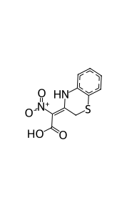 O=C(O)/C(=C1\CSc2ccccc2N1)[N+](=O)[O-]